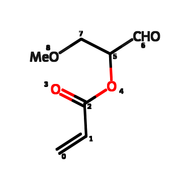 C=CC(=O)OC(C=O)COC